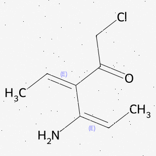 C/C=C(N)\C(=C/C)C(=O)CCl